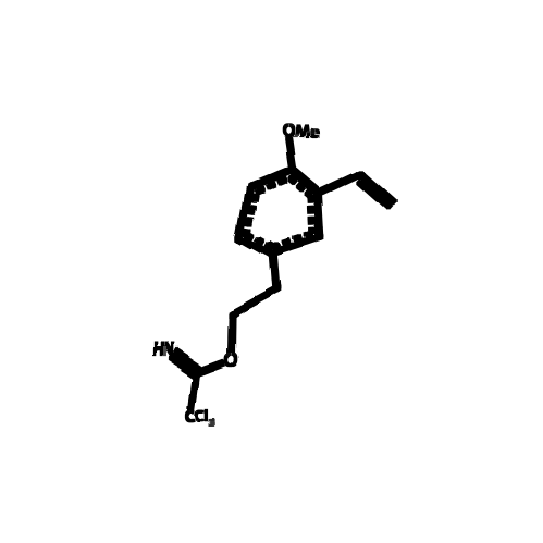 C=Cc1cc(CCOC(=N)C(Cl)(Cl)Cl)ccc1OC